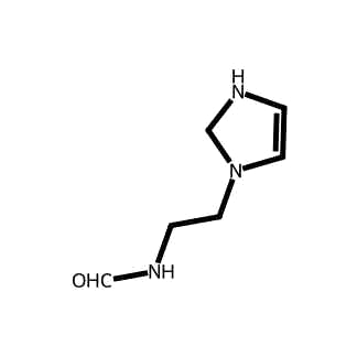 O=CNCCN1C=CNC1